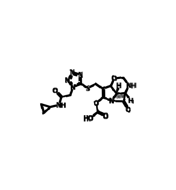 O=C(Cn1nnnc1SCC1=C(OC(=O)O)N2C(=O)[C@H]3NCOC1[C@H]32)NC1CC1